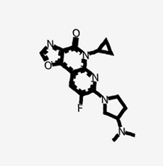 CN(C)C1CCN(c2nc3c(cc2F)c2ocnc2c(=O)n3C2CC2)C1